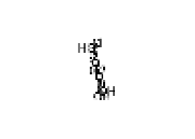 O=S(=O)(c1ccc(OC[C@H](O)CO)cc1)c1ccc(OC[C@@H](O)CCl)cc1